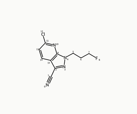 N#Cc1nn(CCCF)c2nc(Cl)ccc12